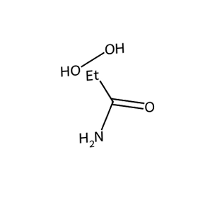 CCC(N)=O.OO